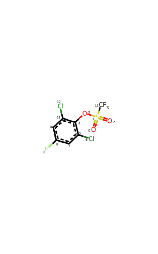 O=S(=O)(Oc1c(Cl)cc(F)cc1Cl)C(F)(F)F